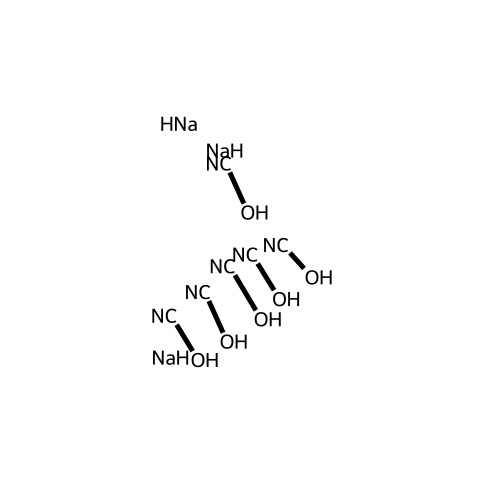 N#CO.N#CO.N#CO.N#CO.N#CO.N#CO.[NaH].[NaH].[NaH]